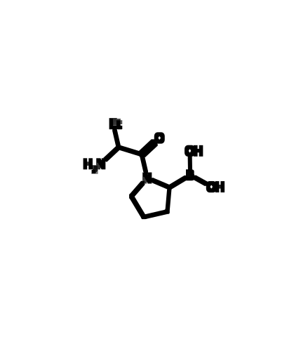 CCC(N)C(=O)N1CCCC1B(O)O